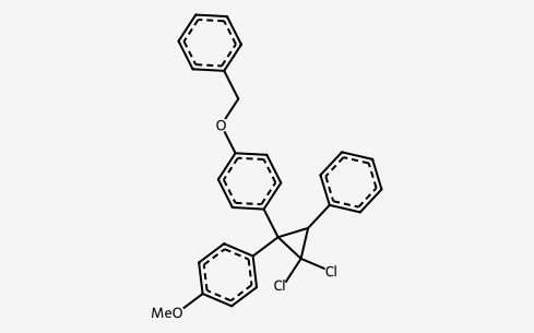 COc1ccc(C2(c3ccc(OCc4ccccc4)cc3)C(c3ccccc3)C2(Cl)Cl)cc1